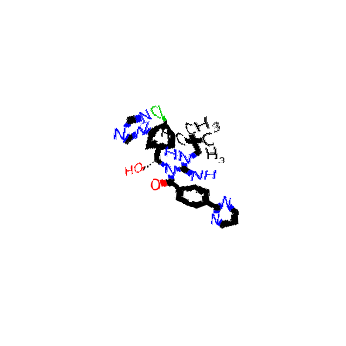 CC(C)(C)CNC(=N)N(C(=O)c1ccc(-c2ncccn2)cc1)[C@H](CO)c1ccc(Cl)c(-n2cncn2)c1